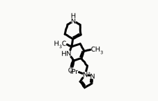 CC1=C(C[N+]2(C(C)C)C=CC=N2)C(=O)NC(C)(C2=CCNCC2)C1